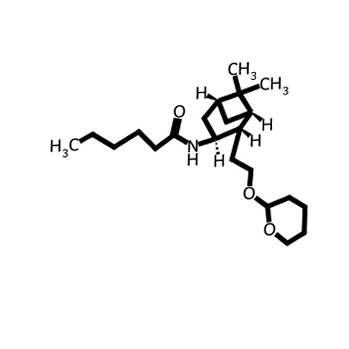 CCCCCC(=O)N[C@H]1C[C@H]2C[C@@H]([C@@H]1CCOC1CCCCO1)C2(C)C